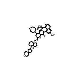 C#Cc1c(F)ccc2cc(O)cc(-c3nc(OC)c4c(N5CCCOCC5)nc(OC[C@]56CCC[C@H]5N(C5CCC7(CCOCC7)C5)CCC6)nc4c3F)c12